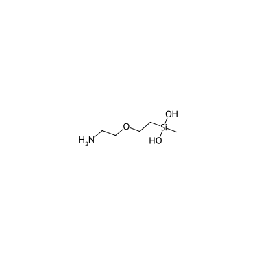 C[Si](O)(O)CCOCCN